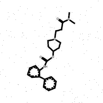 CN(C)C(=O)CCN1CCC(OC(=O)Nc2ccccc2-c2ccccc2)CC1